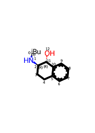 CC[C@H](C)N[C@@H]1CCc2ccccc2[C@H]1O